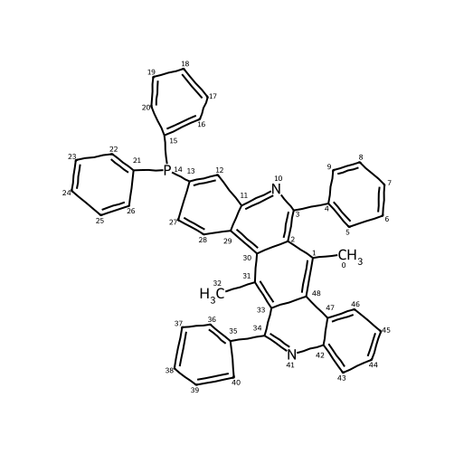 Cc1c2c(-c3ccccc3)nc3cc(P(c4ccccc4)c4ccccc4)ccc3c2c(C)c2c(-c3ccccc3)nc3ccccc3c12